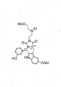 CCN(CCOC)CCN1C(=O)N2[C@H](c3cccc(O)c3)c3[nH]c4ccc(OC)cc4c3C[C@@]2(C)C1=O